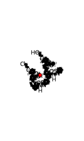 Cc1c(OCCCCl)cccc1-c1ccc(N2CCc3cccc(C(=O)Nc4nc5ccccc5s4)c3C2)nc1C(=O)OC(C)(C)C.Cc1c(OCCCO)cccc1-c1ccc(N2CCc3cccc(C(=O)Nc4nc5ccccc5s4)c3C2)nc1C(=O)OC(C)(C)C